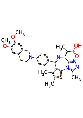 COc1cc2c(cc1OC)CN(c1ccc(C3=N[C@@H](C(C)C(=O)O)c4nnc(C)n4-c4sc(C)c(C)c43)cc1)CC2